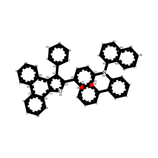 c1ccc(-c2ccccc2N(c2ccc(-c3oc4c5ccccc5c5ccccc5c4c3-c3ccccc3)cc2)c2cccc3ccccc23)cc1